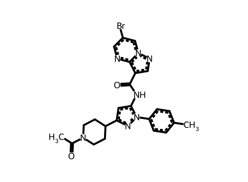 CC(=O)N1CCC(c2cc(NC(=O)c3cnn4cc(Br)cnc34)n(-c3ccc(C)cc3)n2)CC1